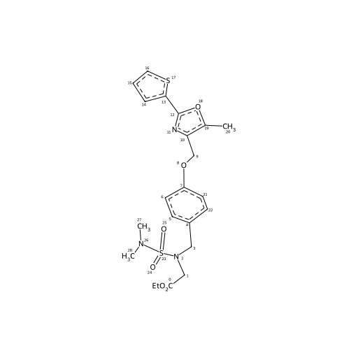 CCOC(=O)CN(Cc1ccc(OCc2nc(-c3cccs3)oc2C)cc1)S(=O)(=O)N(C)C